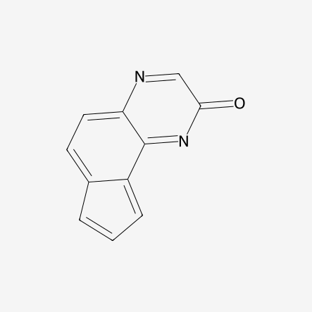 O=C1C=Nc2ccc3c(c2=N1)=CC=C3